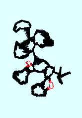 CC(C)(C)c1cc2cc(-c3c4ccccc4c(-c4ccccc4)c4ccccc34)c3oc4ccccc4c3c2c2c1oc1ccccc12